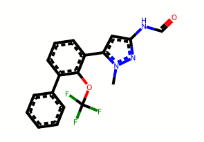 Cn1nc(NC=O)cc1-c1cccc(-c2ccccc2)c1OC(F)(F)F